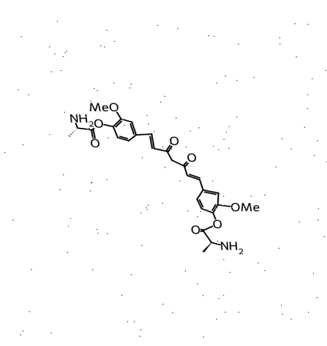 COc1cc(/C=C/C(=O)CC(=O)/C=C/c2ccc(OC(=O)[C@H](C)N)c(OC)c2)ccc1OC(=O)[C@H](C)N